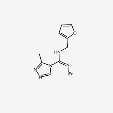 Cc1nncn1/C(=N\C(C)C)NCc1ccco1